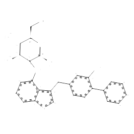 OC[C@H]1O[C@@H](O)[C@@](O)(Oc2cccc3[nH]cc(Cc4ccc(-c5ccccc5)c(F)c4)c23)[C@@H](O)[C@@H]1O